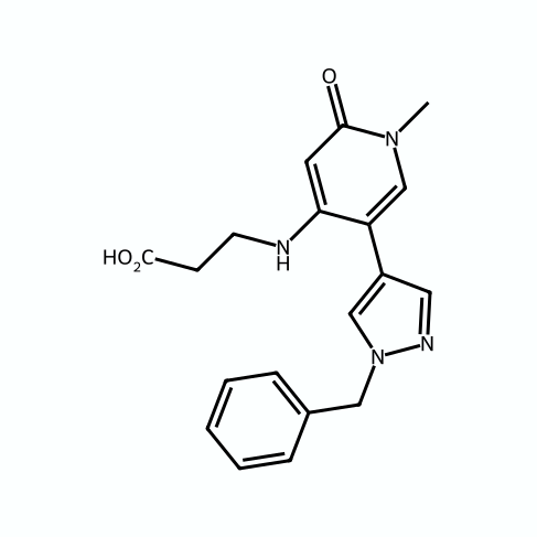 Cn1cc(-c2cnn(Cc3ccccc3)c2)c(NCCC(=O)O)cc1=O